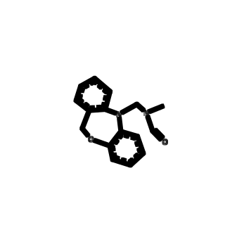 CN(C=O)CN1c2ccccc2COc2ccccc21